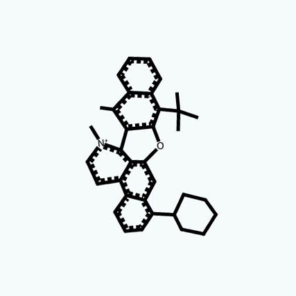 Cc1c2c(c(C(C)(C)C)c3ccccc13)Oc1cc3c(C4CCCCC4)cccc3c3cc[n+](C)c-2c13